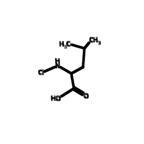 CC(C)CC(NCl)C(=O)O